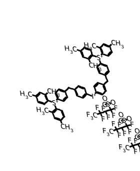 Cc1ccc([S+](c2ccc(Cc3ccc([I+]c4ccc(Cc5ccc([S+](c6ccc(C)cc6C)c6ccc(C)cc6C)cc5)cc4)cc3)cc2)c2ccc(C)cc2C)c(C)c1.O=S(=O)([O-])C(F)(F)C(F)(F)C(F)(F)C(F)(F)F.O=S(=O)([O-])C(F)(F)C(F)(F)C(F)(F)C(F)(F)F.O=S(=O)([O-])C(F)(F)C(F)(F)C(F)(F)C(F)(F)F